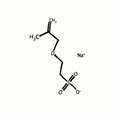 C=C(C)COCCS(=O)(=O)[O-].[Na+]